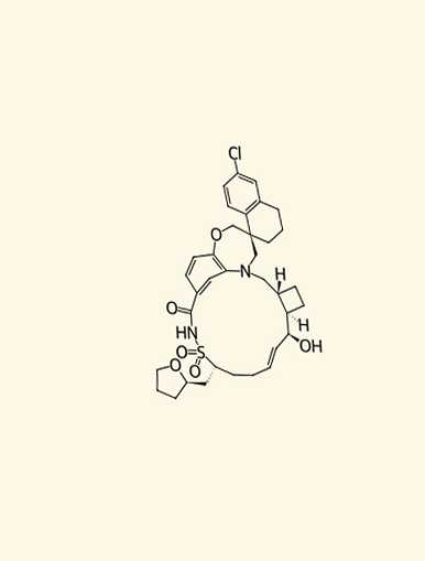 O=C1NS(=O)(=O)[C@@H](C[C@H]2CCCO2)CC/C=C/[C@H](O)[C@@H]2CC[C@H]2CN2C[C@@]3(CCCc4cc(Cl)ccc43)COc3ccc1cc32